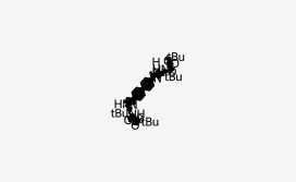 CC(C)(C)OC(=O)C(=O)NC(c1nc(-c2ccc(-c3ccc(-c4c[nH]c(C(NC(=O)C(=O)OC(C)(C)C)C(C)(C)C)n4)cc3)cc2)c[nH]1)C(C)(C)C